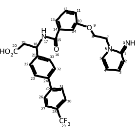 N=c1ccccn1CCOc1cccc(C(=O)NC(CC(=O)O)c2ccc(-c3ccc(C(F)(F)F)cc3)cc2)c1